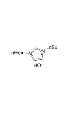 CCCCCCn1cc[n+](CCCC)c1.[OH-]